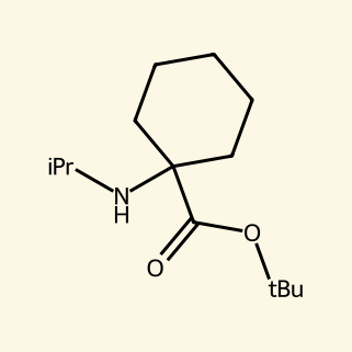 CC(C)NC1(C(=O)OC(C)(C)C)CCCCC1